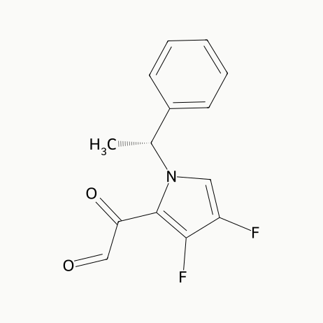 C[C@H](c1ccccc1)n1cc(F)c(F)c1C(=O)C=O